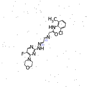 Cc1cccc(Cl)c1NC(=O)C/N=C/C=N/Nc1ncc(F)c(N2CCOCC2)n1